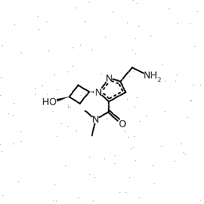 CN(C)C(=O)c1cc(CN)nn1[C@H]1C[C@H](O)C1